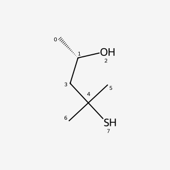 C[C@H](O)CC(C)(C)S